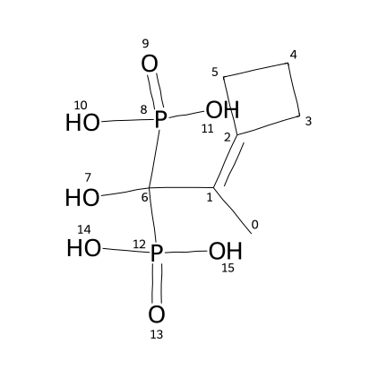 CC(=C1CCC1)C(O)(P(=O)(O)O)P(=O)(O)O